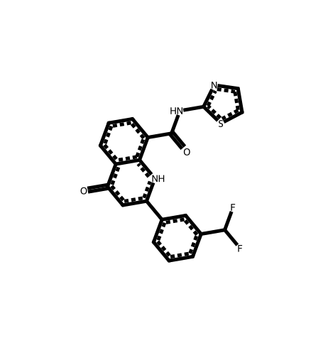 O=C(Nc1nccs1)c1cccc2c(=O)cc(-c3cccc(C(F)F)c3)[nH]c12